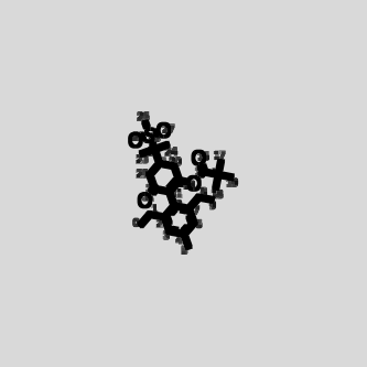 CCc1cc(C)cc(CC)c1C1=C(OC(=O)C(C)(C)C)CC(C(C)(C)S(C)(=O)=O)CC1=O